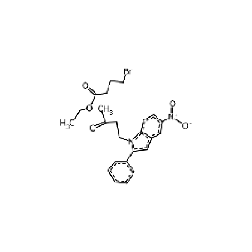 CC(=O)CCn1c(-c2ccccc2)cc2cc([N+](=O)[O-])ccc21.CCOC(=O)CCCBr